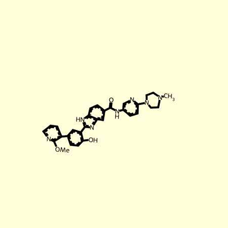 COc1ncccc1-c1ccc(O)c(-c2nc3cc(C(=O)Nc4ccc(N5CCN(C)CC5)nc4)ccc3[nH]2)c1